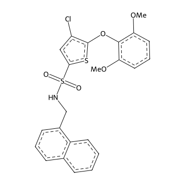 COc1cccc(OC)c1Oc1sc(S(=O)(=O)NCc2cccc3ccccc23)cc1Cl